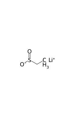 CCS(=O)[O-].[Li+]